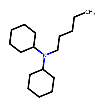 CCCCCN(C1CCCCC1)C1CCCCC1